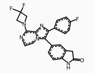 O=C1Cc2cc(-c3c(-c4ccc(F)cc4)nc4c(N5CC(F)(F)C5)nccn34)ccc2N1